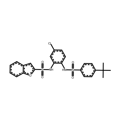 CC(C)(C)c1ccc(S(=O)(=O)Nc2ccc(Cl)cc2NS(=O)(=O)c2cc3ccccc3o2)cc1